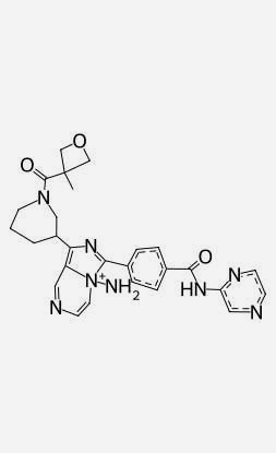 CC1(C(=O)N2CCCC(C3=C4C=NC=C[N+]4(N)C(c4ccc(C(=O)Nc5cnccn5)cc4)=N3)C2)COC1